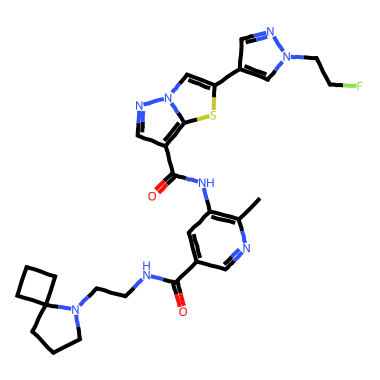 Cc1ncc(C(=O)NCCN2CCCC23CCC3)cc1NC(=O)c1cnn2cc(-c3cnn(CCF)c3)sc12